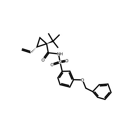 C=C[C@@H]1C[C@@]1(C(=O)NS(=O)(=O)c1cccc(OCc2ccccc2)c1)C(C)(C)C